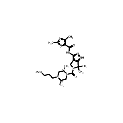 COCCCN1C[C@H](C)N(C(=O)N2Cc3c(NC(=O)c4oc(C)nc4C)n[nH]c3C2(C)C)C[C@H]1C